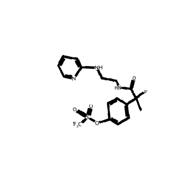 CC(F)(C(=O)NCCNc1ccccn1)c1ccc(OS(=O)(=O)C(F)(F)F)cc1